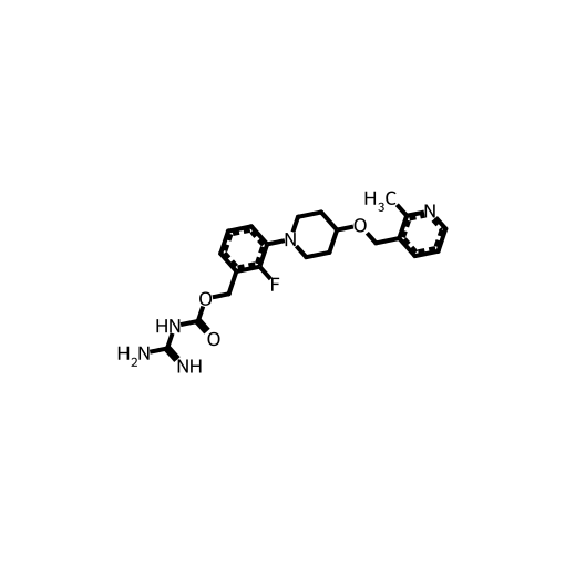 Cc1ncccc1COC1CCN(c2cccc(COC(=O)NC(=N)N)c2F)CC1